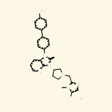 Cn1c(C(=O)O)cnc1CN1CC[C@H](n2c(=O)n(-c3ccc(-c4ccc(O)cc4)cc3)c3cccnc32)C1